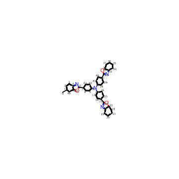 Cc1ccc2nc(-c3ccc(N(c4ccc(-c5nc6ccccc6o5)cc4)c4ccc(-c5nc6ccccc6o5)cc4)cc3)oc2c1